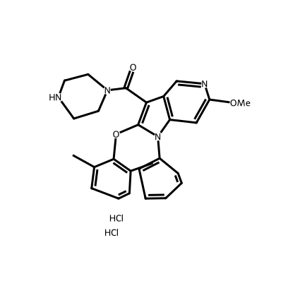 COc1cc2c(cn1)c(C(=O)N1CCNCC1)c(Oc1c(C)cccc1C)n2-c1ccccc1.Cl.Cl